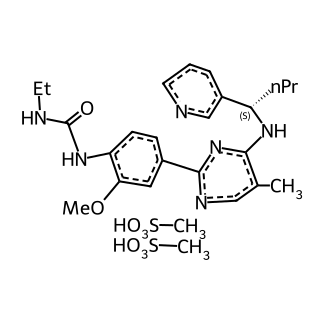 CCC[C@H](Nc1nc(-c2ccc(NC(=O)NCC)c(OC)c2)ncc1C)c1cccnc1.CS(=O)(=O)O.CS(=O)(=O)O